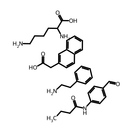 CCCC(=O)Nc1ccc(C=O)cc1.NCCCCC(N)C(=O)O.NCCc1ccccc1.O=C(O)Cc1ccc2ccccc2c1